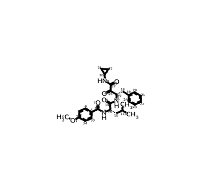 COc1ccc(C(=O)N[C@@H](CC(C)C)C(=O)N[C@@H](Cc2ccccc2)C(=O)C(=O)NC2CC2)cc1